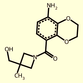 CC1(CO)CN(C(=O)c2ccc(N)c3c2OCCO3)C1